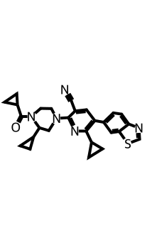 N#Cc1cc(-c2ccc3ncsc3c2)c(C2CC2)nc1N1CCN(C(=O)C2CC2)C(C2CC2)C1